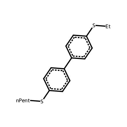 CCCCCSc1ccc(-c2ccc(SCC)cc2)cc1